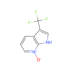 [O-][n+]1cccc2c(C(F)(F)F)c[nH]c21